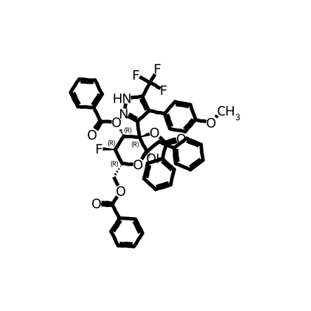 COc1ccc(-c2c([C@@]3(OC(=O)c4ccccc4)[C@@H](OC(=O)c4ccccc4)[C@H](F)[C@@H](COC(=O)c4ccccc4)O[C@]3(O)Cc3ccccc3)n[nH]c2C(F)(F)F)cc1